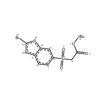 CC(C)(C)OC(=O)CS(=O)(=O)c1ccc2nc(Br)sc2c1